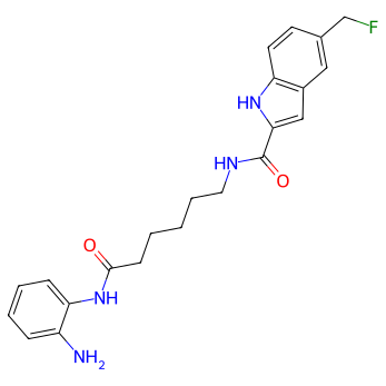 Nc1ccccc1NC(=O)CCCCCNC(=O)c1cc2cc(CF)ccc2[nH]1